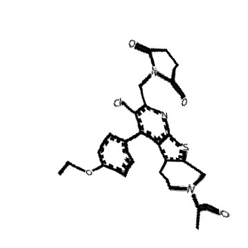 CCOc1ccc(-c2c(Cl)c(CN3C(=O)CCC3=O)nc3sc4c(c23)CCN(C(C)=O)C4)cc1